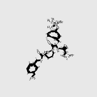 C=Cc1cccc(COC(=O)[C@@H]2CCCN(C(=O)[C@H](Cc3cccc(O[Si](C)(C)C(C)(C)C)c3)NC(=O)[C@@H](N)C(C)C)N2)c1